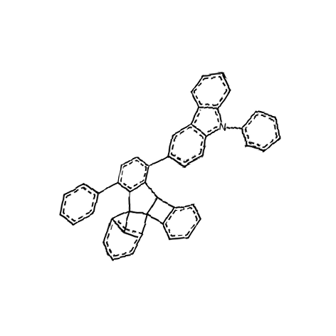 c1ccc(-c2ccc(-c3ccc4c(c3)c3ccccc3n4-c3ccccc3)c3c2C24c5cccc(c52)C42c4ccccc4C32)cc1